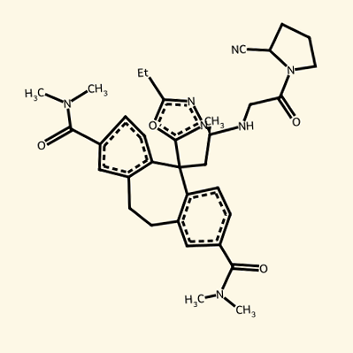 CCc1nnc(C2(C[C@@H](C)NCC(=O)N3CCCC3C#N)c3ccc(C(=O)N(C)C)cc3CCc3cc(C(=O)N(C)C)ccc32)o1